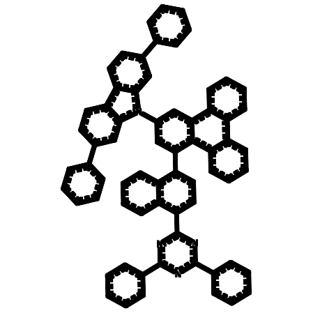 c1ccc(-c2ccc3c4ccc(-c5ccccc5)cc4n(-c4cc(-c5ccc(-c6nc(-c7ccccc7)nc(-c7ccccc7)n6)c6ccccc56)c5c6ccccc6c6ccccc6c5c4)c3c2)cc1